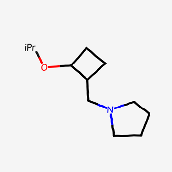 CC(C)OC1CCC1CN1CCCC1